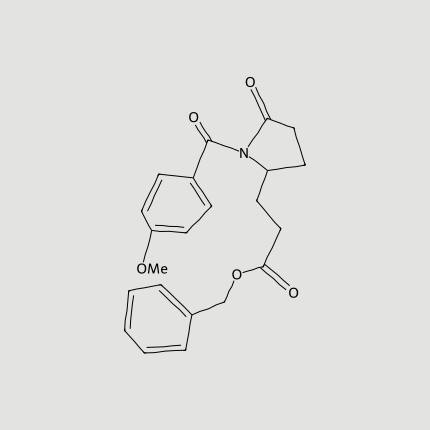 COc1ccc(C(=O)N2C(=O)CCC2CCC(=O)OCc2ccccc2)cc1